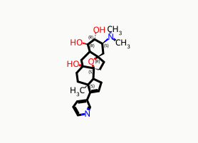 CN(C)[C@H]1C[C@@]23CC[C@]4(O2)C2CC=C(c5cccnc5)[C@@]2(C)CCC4(O)CC3[C@@H](O)[C@@H]1O